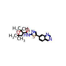 CC1(C)CC(C(=O)Nc2ncc(-c3ccc4cncnc4c3)s2)C(C)(C)O1